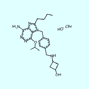 CCCCc1nc2c(N)nnc(OC(C)C)c2n1Cc1ccc(CNC2CC(O)C2)cc1.Cl.Cl